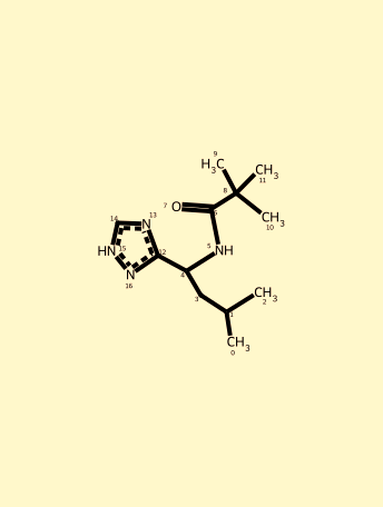 CC(C)CC(NC(=O)C(C)(C)C)c1nc[nH]n1